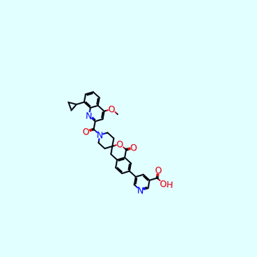 COc1cc(C(=O)N2CCC3(CC2)Cc2ccc(-c4cncc(C(=O)O)c4)cc2C(=O)O3)nc2c(C3CC3)cccc12